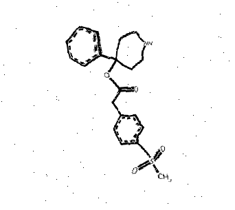 CS(=O)(=O)c1ccc(CC(=O)OC2(c3ccccc3)CCNCC2)cc1